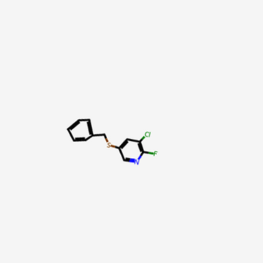 Fc1ncc(SCc2ccccc2)cc1Cl